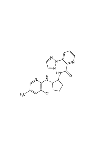 O=C(NC1CCC[C@@H]1Nc1ncc(C(F)(F)F)cc1Cl)c1ncccc1-n1nccn1